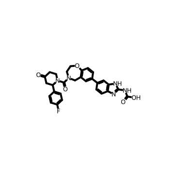 O=C1CCN(C(=O)N2CCOc3ccc(-c4ccc5nc(NC(=O)O)[nH]c5c4)cc3C2)C(c2ccc(F)cc2)C1